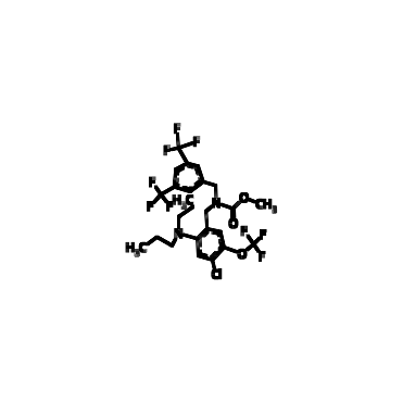 CCCN(CCC)c1cc(Cl)c(OC(F)(F)F)cc1CN(Cc1cc(C(F)(F)F)cc(C(F)(F)F)c1)C(=O)OC